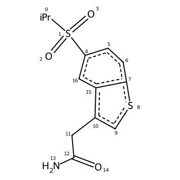 CC(C)S(=O)(=O)c1ccc2scc(CC(N)=O)c2c1